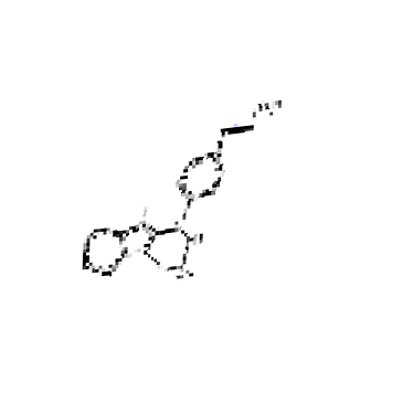 C[C@@H]1Cc2c([nH]c3ccccc23)[C@H](c2ccc(/C=C/C(=O)O)cc2)N1